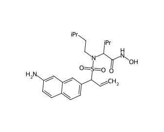 C=CC(c1ccc2ccc(N)cc2c1)S(=O)(=O)N(CCC(C)C)C(C(=O)NO)C(C)C